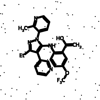 C=C(O)c1cc(OC(F)(F)F)ccc1Nc1c(-c2cccnc2)c(CC)nn1-c1cccnc1C